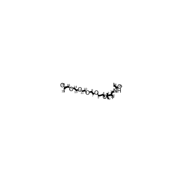 CC(C)(OCCOCCOCCOCCOCC(=O)I)C(F)CNC(=O)I